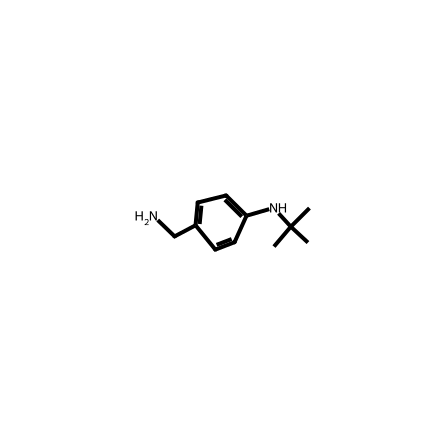 CC(C)(C)Nc1ccc(CN)cc1